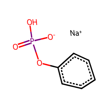 O=P([O-])(O)Oc1ccccc1.[Na+]